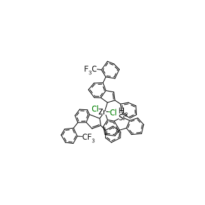 FC(F)(F)c1ccccc1-c1cccc2c1C=C(c1ccccc1)[CH]2[Zr]([Cl])([Cl])([c]1cccc2c1[SiH2]c1ccccc1-2)[CH]1C(c2ccccc2)=Cc2c(-c3ccccc3C(F)(F)F)cccc21